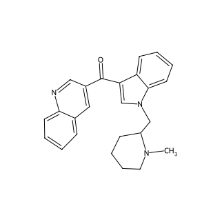 CN1CCCCC1Cn1cc(C(=O)c2cnc3ccccc3c2)c2ccccc21